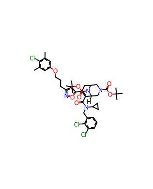 Cc1cc(OCCCc2cc(C3=C(C(=O)N(Cc4cccc(Cl)c4Cl)C4CC4)[C@H]4CN(C(=O)OC(C)(C)C)CC(C3)N4C(=O)OC(C)(C)C)on2)cc(C)c1Cl